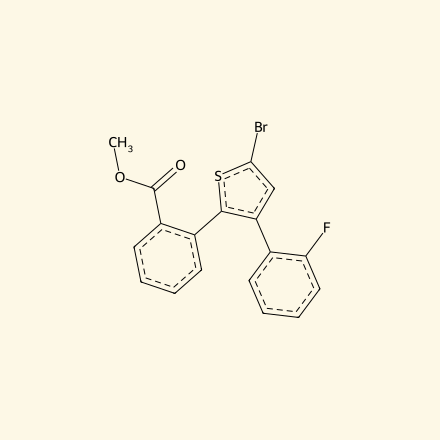 COC(=O)c1ccccc1-c1sc(Br)cc1-c1ccccc1F